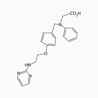 O=C(O)CN(Cc1ccc(OCCNc2ncccn2)cc1)c1ccccc1